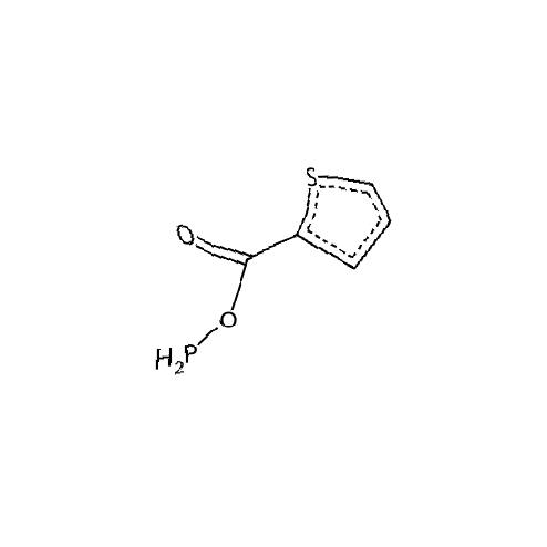 O=C(OP)c1cccs1